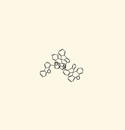 c1ccc2c(c1)Oc1ccccc1C21c2ccccc2-c2c(N(c3ccc(-c4cccc5c4oc4ccccc45)cc3)c3cccc4c3C3(c5ccccc5Oc5ccccc53)c3ccccc3-4)cccc21